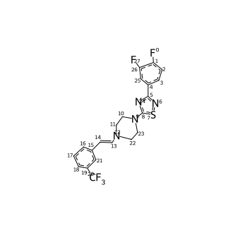 Fc1ccc(-c2nsc(N3CCN(C=Cc4cccc(C(F)(F)F)c4)CC3)n2)cc1F